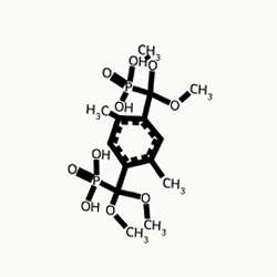 COC(OC)(c1cc(C)c(C(OC)(OC)P(=O)(O)O)cc1C)P(=O)(O)O